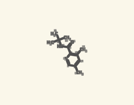 Cc1cnc(C(=O)NC(C)(C)C)c(C)c1